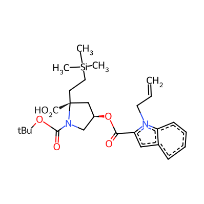 C=CCn1c(C(=O)O[C@H]2CN(C(=O)OC(C)(C)C)[C@@](CC[Si](C)(C)C)(C(=O)O)C2)cc2ccccc21